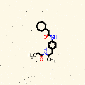 CCC(=O)NC(C)Cc1ccc(NC(=O)CC2CCCCCC2)cc1